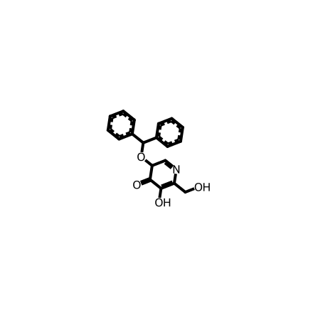 O=C1C(O)=C(CO)N=CC1OC(c1ccccc1)c1ccccc1